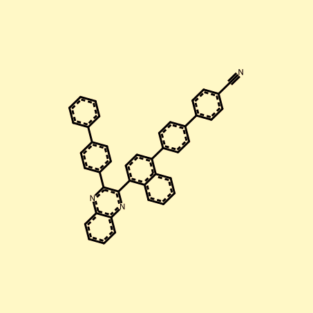 N#Cc1ccc(-c2ccc(-c3ccc(-c4nc5ccccc5nc4-c4ccc(-c5ccccc5)cc4)c4ccccc34)cc2)cc1